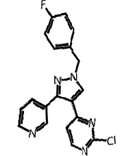 Fc1ccc(Cn2cc(-c3ccnc(Cl)n3)c(-c3cccnc3)n2)cc1